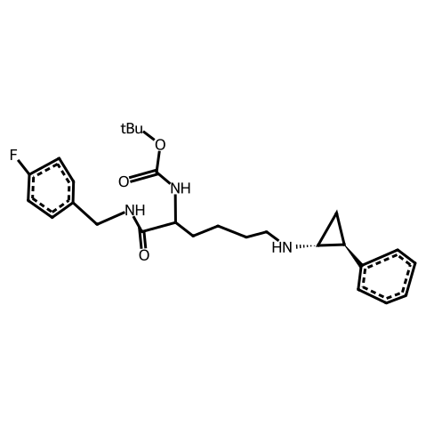 CC(C)(C)OC(=O)NC(CCCCN[C@@H]1C[C@H]1c1ccccc1)C(=O)NCc1ccc(F)cc1